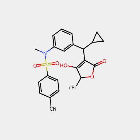 CCCC1OC(=O)C(C(c2cccc(N(C)S(=O)(=O)c3ccc(C#N)cc3)c2)C2CC2)=C1O